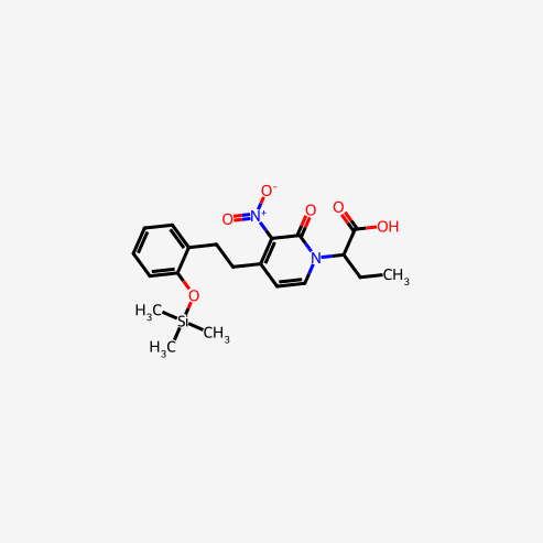 CCC(C(=O)O)n1ccc(CCc2ccccc2O[Si](C)(C)C)c([N+](=O)[O-])c1=O